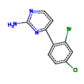 Nc1nccc(-c2ccc(Cl)cc2Br)n1